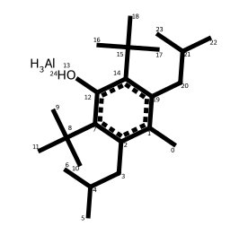 Cc1c(CC(C)C)c(C(C)(C)C)c(O)c(C(C)(C)C)c1CC(C)C.[AlH3]